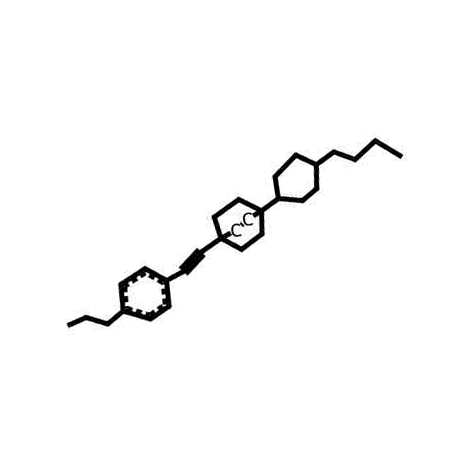 CCCCC1CCC(C23CCC(C#Cc4ccc(CCC)cc4)(CC2)CC3)CC1